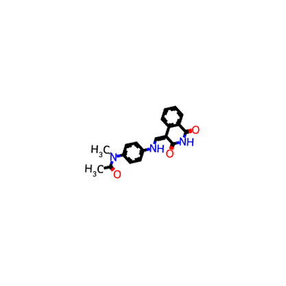 CC(=O)N(C)c1ccc(NC=C2C(=O)NC(=O)c3ccccc32)cc1